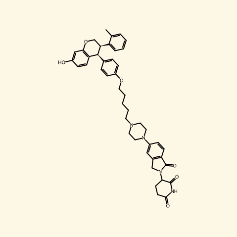 Cc1ccccc1[C@@H]1COc2cc(O)ccc2[C@@H]1c1ccc(OCCCCCN2CCN(c3ccc4c(c3)CN(C3CCC(=O)NC3=O)C4=O)CC2)cc1